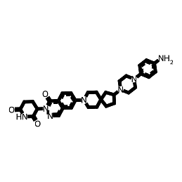 Nc1ccc(N2CCN(C3CCC4(CCN(c5ccc6c(=O)n(C7CCC(=O)NC7=O)ncc6c5)CC4)C3)CC2)cc1